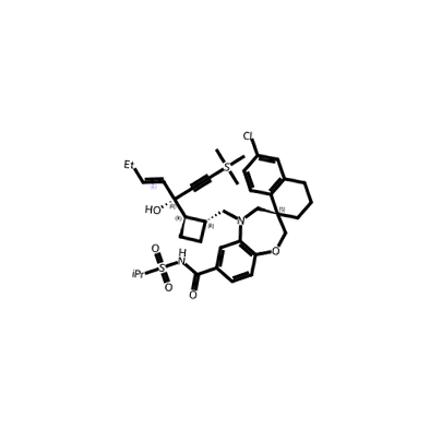 CC/C=C/[C@@](O)(C#CS(C)(C)C)[C@@H]1CC[C@H]1CN1C[C@@]2(CCCc3cc(Cl)ccc32)COc2ccc(C(=O)NS(=O)(=O)C(C)C)cc21